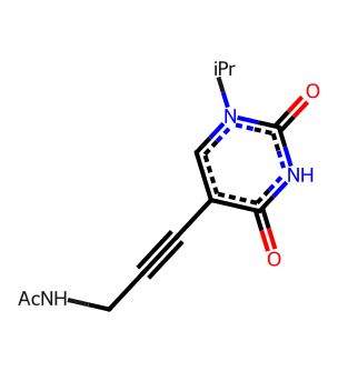 CC(=O)NCC#Cc1cn(C(C)C)c(=O)[nH]c1=O